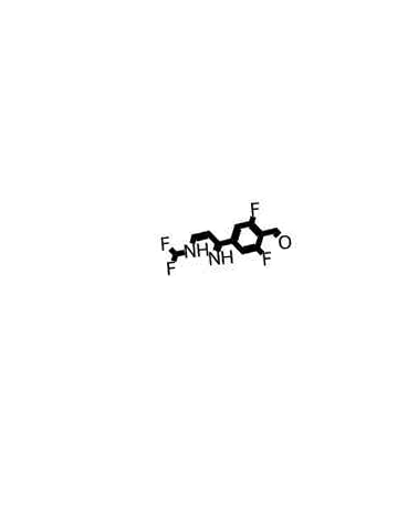 N=C(/C=C\NC(F)F)c1cc(F)c(C=O)c(F)c1